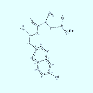 CCOC(=O)C(CC)CC(C)C(=O)OC(C)Cc1ccc2cc(O)ccc2c1